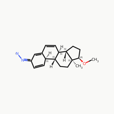 CO[C@@H]1CC[C@H]2[C@@H]3C=CC4=CC(=N[N])C=C[C@@H]4[C@H]3CC[C@]12C